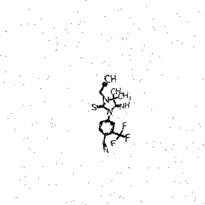 C#CCN1C(=S)N(c2ccc(C#N)c(C(F)(F)F)c2)C(=N)C1(C)C